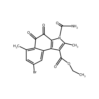 CCOC(=O)c1c2c(n(C(N)=O)c1C)C(=O)C(=O)c1c(C)cc(Br)cc1-2